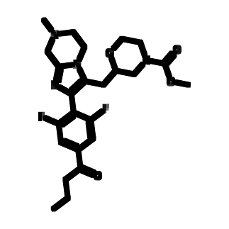 CCCC(=O)c1cc(F)c(-c2nc3n(c2CC2CN(C(=O)OC)CCO2)CCN(C)C3)c(F)c1